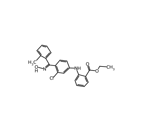 CCOC(=O)c1ccccc1Nc1ccc(C(=NO)c2ccccc2C)c(Cl)c1